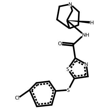 O=C(N[C@H]1CN2CCC1CC2)c1ncc(Sc2ccc(Cl)cc2)s1